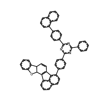 C1=CC2c3ccccc3OC2C2=C1c1c(-c3ccc(-c4nc(-c5ccccc5)nc(-c5ccc(-c6cccc7ccccc67)cc5)n4)cc3)ccc3cccc2c13